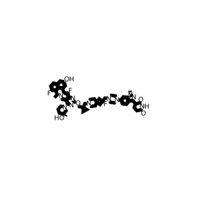 CCc1c(F)ccc2cc(O)cc(-c3ncc4c(N5CCC[C@@](C)(O)C5)nc(OCC5(CN6CCC7(CC6)CC(F)(CN6CCN(c8ccc9c(C%10CCC(=O)NC%10=O)nn(C)c9c8)CC6)C7)CC5)nc4c3F)c12